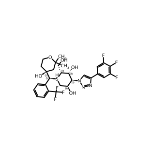 CC1(C)C[C@](O)([C@H](c2ccccc2C(F)(F)F)[SH]2C[C@H](O)[C@H](n3cc(-c4cc(F)c(F)c(F)c4)nn3)[C@@H](O)[C@H]2CO)CCO1